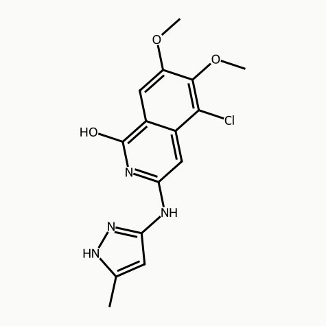 COc1cc2c(O)nc(Nc3cc(C)[nH]n3)cc2c(Cl)c1OC